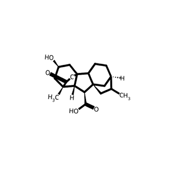 CC1C[C@]23C[C@H]1CCC2[C@@]12CC(=O)[C@@](C)(C[C@@H](O)C1)[C@H]2[C@@H]3C(=O)O